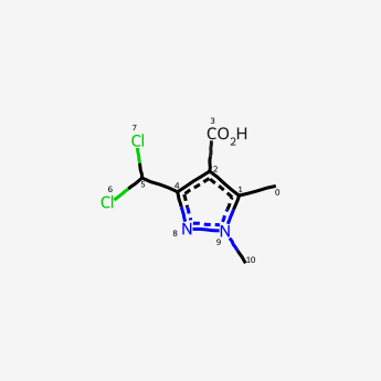 Cc1c(C(=O)O)c(C(Cl)Cl)nn1C